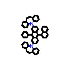 C1=Cc2ccccc2N(c2ccc3c(-c4cccc5ccccc45)c4ccc(N5c6ccccc6C=Cc6ccccc65)cc4c(-c4ccccc4)c3c2)c2ccccc21